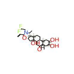 C=CC(=O)N(CC(F)F)C(C)[C@H]1CC[C@@]2(O)C3=CC(=O)[C@@H]4C[C@@H](O)[C@@H](O)C[C@]4(C)C3CC[C@]12C